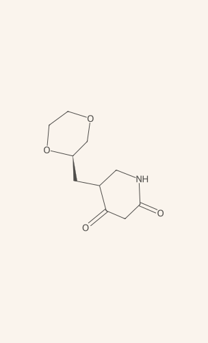 O=C1CC(=O)C(C[C@@H]2COCCO2)CN1